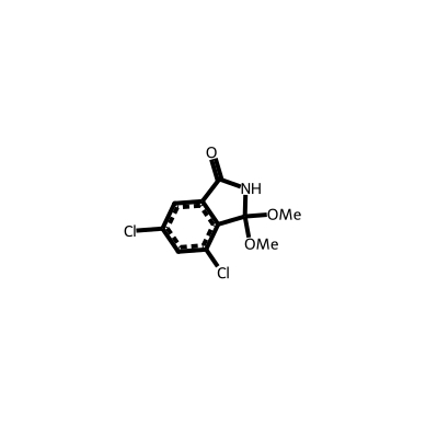 COC1(OC)NC(=O)c2cc(Cl)cc(Cl)c21